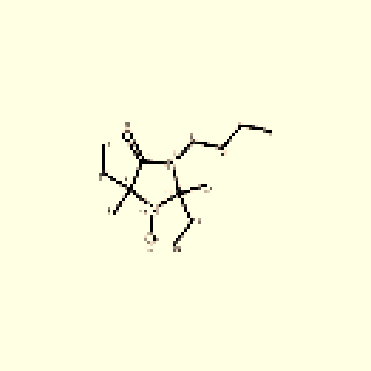 CCCCN1C(=O)C(C)(CC)N([O])C1(C)CC